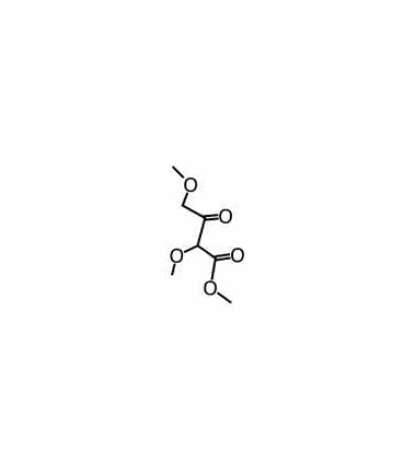 COCC(=O)C(OC)C(=O)OC